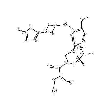 COc1ccc([C@@H]2CN(C(=O)[C@@H](O)CO)C[C@@]2(C)[C@@H](C)O)cc1OC1CN(c2ccc(C)s2)C1